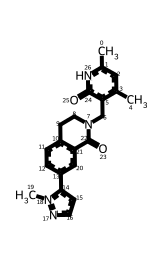 Cc1cc(C)c(CN2CCc3ccc(-c4ccnn4C)cc3C2=O)c(=O)[nH]1